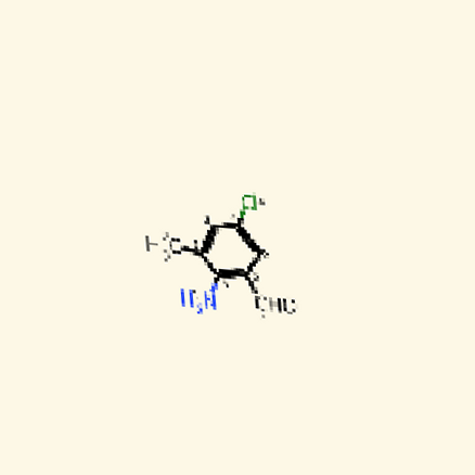 Cc1cc(Cl)cc(C=O)c1N